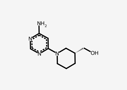 Nc1cc(N2CCC[C@@H](CO)C2)ncn1